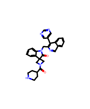 O=C(C1CCNCC1)N1CC2(C1)C(=O)N(Cc1ncc3ccccc3c1-c1cncnc1)c1ccccc12